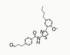 CCCCc1ccc(OC)c(-c2csc(NC(=O)c3ccc(CCC=O)cc3)n2)c1